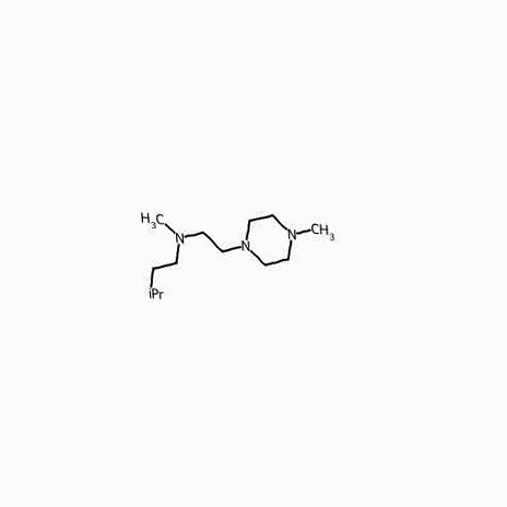 CC(C)CCN(C)CCN1CCN(C)CC1